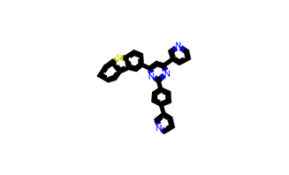 c1cncc(-c2ccc(-c3nc(-c4cccnc4)cc(-c4ccc5sc6ccccc6c5c4)n3)cc2)c1